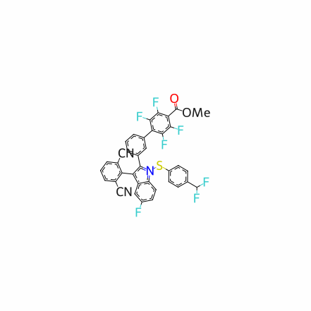 COC(=O)c1c(F)c(F)c(-c2cccc(-c3c(-c4c(C#N)cccc4C#N)c4cc(F)ccc4n3Sc3ccc(C(F)F)cc3)c2)c(F)c1F